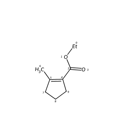 CCOC(=O)C1=C(C)CCC1